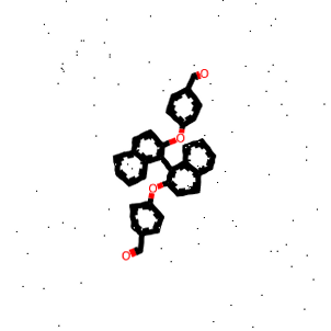 O=Cc1ccc(Oc2ccc3ccccc3c2-c2c(Oc3ccc(C=O)cc3)ccc3ccccc23)cc1